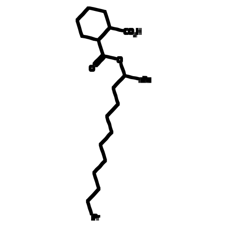 CCCCC(CCCCCCCCCC(C)C)OC(=O)C1CCCCC1C(=O)O